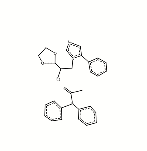 C=C(C)B(c1ccccc1)c1ccccc1.CCC(Cn1cncc1-c1ccccc1)C1OCCO1